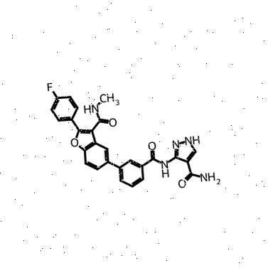 CNC(=O)c1c(-c2ccc(F)cc2)oc2ccc(-c3cccc(C(=O)Nc4n[nH]cc4C(N)=O)c3)cc12